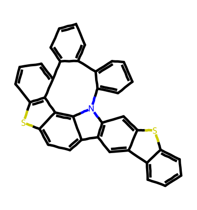 c1ccc2c(c1)sc1cc3c(cc12)c1ccc2sc4cccc5c6ccccc6c6ccccc6n3c1c2c45